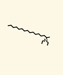 CCCCCCCCCCCCCCC(C)N(CC)CC